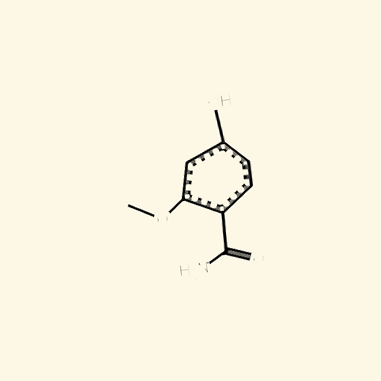 COc1cc(O)ccc1C(N)=O